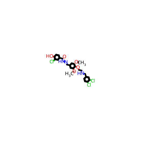 COc1cc(/C=N/NC(=O)c2ccc(O)c(Cl)c2)cc(OC)c1OCCNCc1ccc(Cl)c(Cl)c1